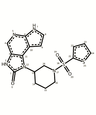 O=c1[nH]c2cnc3[nH]ccc3c2n1C1CCCN(S(=O)(=O)c2cccs2)C1